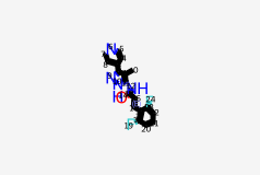 Cc1c(-c2ccncc2)n[nH]c1NC(=O)/C=C/c1c(F)cccc1F